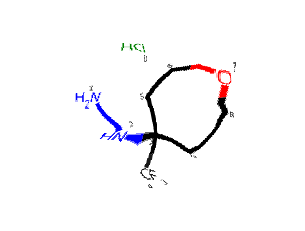 Cl.NNC1(C(F)(F)F)CCOCC1